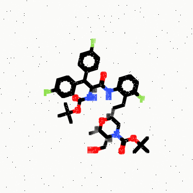 C[C@@H]1O[C@H](CCc2c(F)cccc2NC(=O)[C@@H](NC(=O)OC(C)(C)C)C(c2ccc(F)cc2)c2ccc(F)cc2)CN(C(=O)OC(C)(C)C)[C@@H]1CO